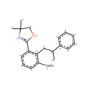 COc1cccc(C2=NC(C)(C)CO2)c1CC(C)c1ccccc1